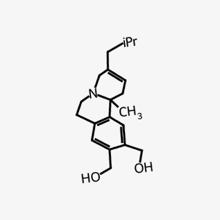 CC(C)CC1=CCC2(C)c3cc(CO)c(CO)cc3CCN2C1